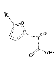 N#Cc1ccc(C(=O)C([NH])=O)o1